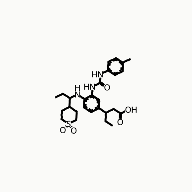 CCC(CC(=O)O)c1ccc(NC(CC)C2CCS(=O)(=O)CC2)c(NC(=O)Nc2ccc(C)cc2)c1